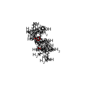 C[C@@H](O)[C@H](NC(=O)[C@H](CCN)NC(=O)[C@H](CCCNC(=N)N)NC(=O)[C@H](CC(N)=O)NC(=O)[C@@H](NC(=O)[C@@H](N)Cc1ccc(O)cc1)C(C)(C)S)C(=O)N[C@H](CCN)C(=O)N[C@@H](CCCCN)C(=O)N[C@@H](CS)C(=O)N[C@@H](CCN)C(=O)N[C@@H](CCCN)C(=O)N[C@@H](Cc1ccc(O)cc1)C(=O)O